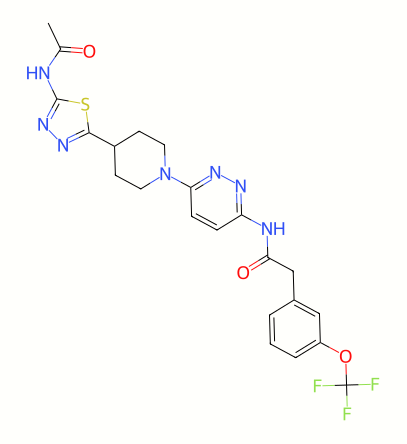 CC(=O)Nc1nnc(C2CCN(c3ccc(NC(=O)Cc4cccc(OC(F)(F)F)c4)nn3)CC2)s1